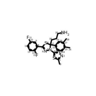 Cc1nnc(N2N=C(c3cc(F)ccc3F)SC2(CCCN)c2ccc(C)c(C)c2)s1